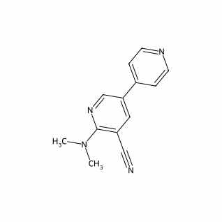 CN(C)c1ncc(-c2ccncc2)cc1C#N